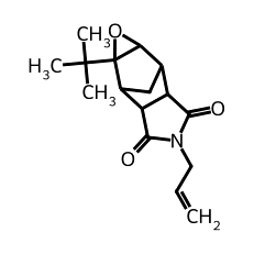 C=CCN1C(=O)C2C3CC(C2C1=O)C1(C(C)(C)C)OC31